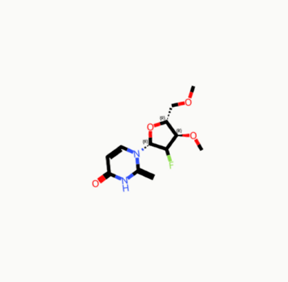 C=C1NC(=O)C=CN1[C@@H]1O[C@H](COC)[C@@H](OC)C1F